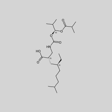 CC[C@@H](CCCC(C)C)C[C@@H](CNC(=O)O[C@H](OC(=O)C(C)C)C(C)C)C(=O)O